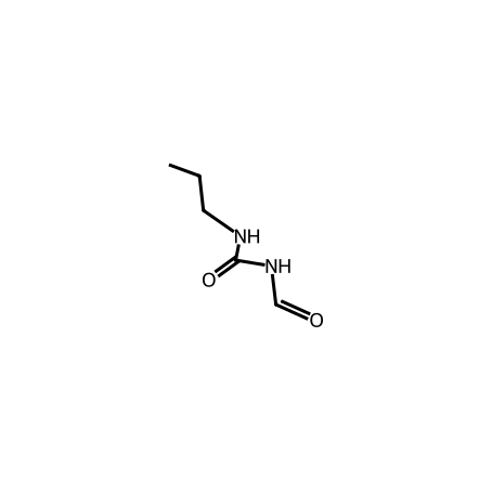 CCCNC(=O)NC=O